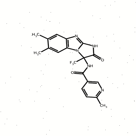 Cc1ccc(C(=O)NC2(C(F)(F)F)C(=O)Nc3nc4cc(C)c(C)cc4n32)cn1